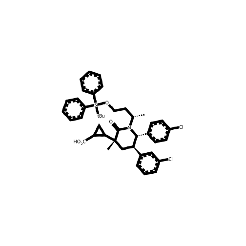 C[C@@H](CCO[Si](c1ccccc1)(c1ccccc1)C(C)(C)C)N1C(=O)[C@@](C)(C2CC2C(=O)O)C[C@H](c2cccc(Cl)c2)[C@H]1c1ccc(Cl)cc1